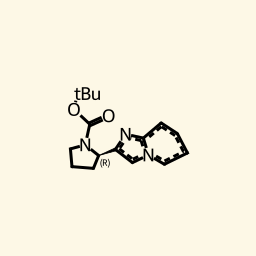 CC(C)(C)OC(=O)N1CCC[C@@H]1c1cn2ccccc2n1